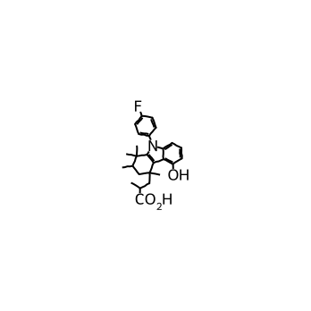 CC(CC1(C)CC(C)C(C)(C)c2c1c1c(O)cccc1n2-c1ccc(F)cc1)C(=O)O